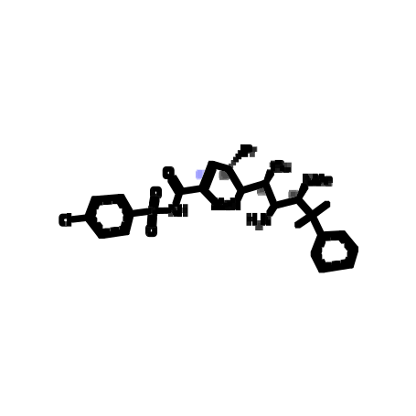 CNC([C@H](/C=C(\C)C(=O)NS(=O)(=O)c1ccc(Cl)cc1)C(C)C)[C@H](C(N)[C@@H](NC)C(C)(C)c1ccccc1)C(C)(C)C